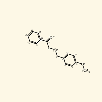 COc1ccc(C[Se]CC(=O)c2ccccc2)cc1